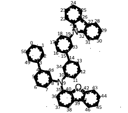 c1ccc(-c2cccc(N(c3cccc(-c4cccc(-n5c6ccccc6c6ccccc65)c4)c3)c3cccc4c3oc3ccccc34)c2)cc1